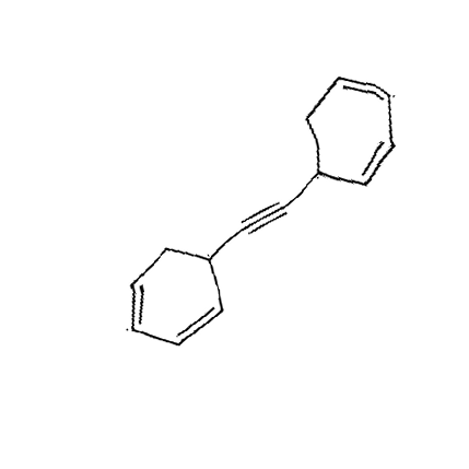 [C]1=CC[C](C#C[C]2C=C[C]=CC2)C=C1